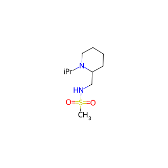 CC(C)N1CCCCC1CNS(C)(=O)=O